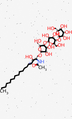 CCCCCCCCCCCCC/C=C/[C@@H](O)[C@H](CO[C@@H]1O[C@H](CO)[C@@H](O[C@@H]2O[C@H](CO)[C@H](O[C@H]3O[C@H](CO)[C@H](O)[C@H](O)[C@H]3O)[C@H](O)[C@H]2O)[C@H](O)[C@H]1O)NC(C)=O